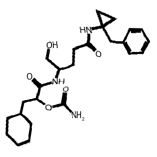 NC(=O)OC(CC1CCCCC1)C(=O)NC(CO)CCC(=O)NC1(Cc2ccccc2)CC1